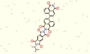 CC(C)C(C)n1c(=O)c2cc3c(=O)n(N4C(=O)c5cccc6c(-c7ccc8c9c(cccc79)C(=O)N(C)C8=O)ccc(c56)C4=O)c(=O)c3cc2c1=O